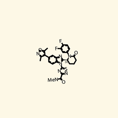 CNC(=O)c1nsc(-n2c([C@@H]3CCCC(=O)N3c3ccc(F)c(F)c3)nc3cc(-c4c(C)noc4C)ccc32)n1